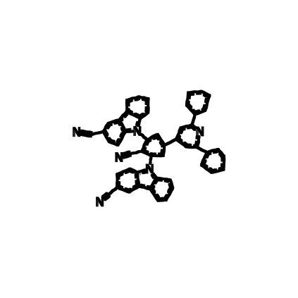 N#Cc1ccc2c(c1)c1ccccc1n2-c1cc(-c2cc(-c3ccccc3)nc(-c3ccccc3)c2)cc(-n2c3ccccc3c3cc(C#N)ccc32)c1C#N